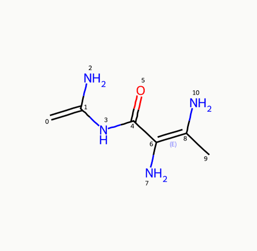 C=C(N)NC(=O)/C(N)=C(/C)N